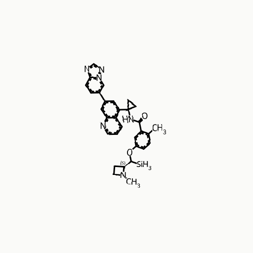 Cc1ccc(OC([SiH3])[C@@H]2CCN2C)cc1C(=O)NC1(c2cc(-c3ccc4ncnn4c3)cc3ncccc23)CC1